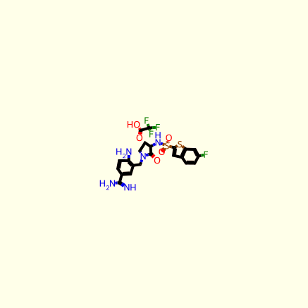 N=C(N)c1ccc(N)c(CN2CCC(NS(=O)(=O)c3cc4ccc(F)cc4s3)C2=O)c1.O=C(O)C(F)(F)F